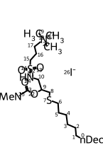 CCCCCCCCCCCCCCCCSCC(CNS(=O)(=O)CCC[N+](C)(C)C)OC(=O)NC.[I-]